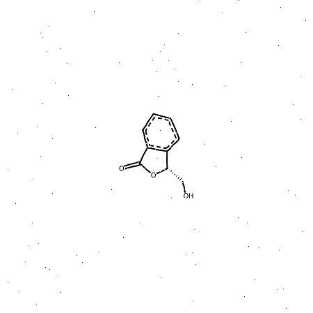 O=C1O[C@@H](CO)c2ccccc21